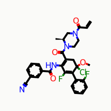 C=CC(=O)N1CCN(C(=O)C2=C(NC(=O)c3cccc(C#N)c3)C(F)=C(c3ccccc3F)C(Cl)(OC)C2)[C@@H](C)C1